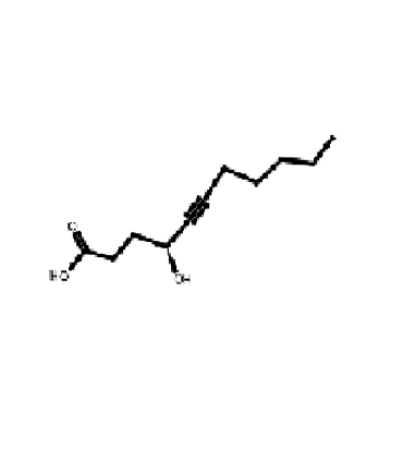 CCCCCC#C[C@@H](O)CCC(=O)O